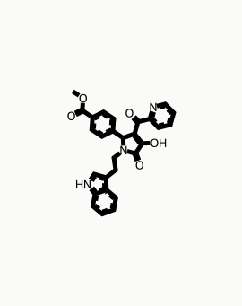 COC(=O)c1ccc(C2C(C(=O)c3ccccn3)=C(O)C(=O)N2CCc2c[nH]c3ccccc23)cc1